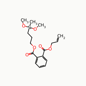 C=CCOC(=O)c1ccccc1C(=O)OCCC[Si](C)(OC)OC